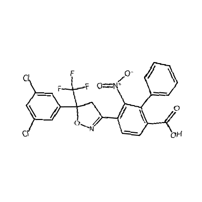 O=C(O)c1ccc(C2=NOC(c3cc(Cl)cc(Cl)c3)(C(F)(F)F)C2)c([N+](=O)[O-])c1-c1ccccc1